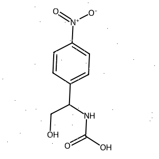 O=C(O)NC(CO)c1ccc([N+](=O)[O-])cc1